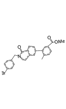 COC(=O)c1ccc(C)c(-c2ccc3c(=O)n(Cc4ccc(Br)cc4)ccc3c2)c1